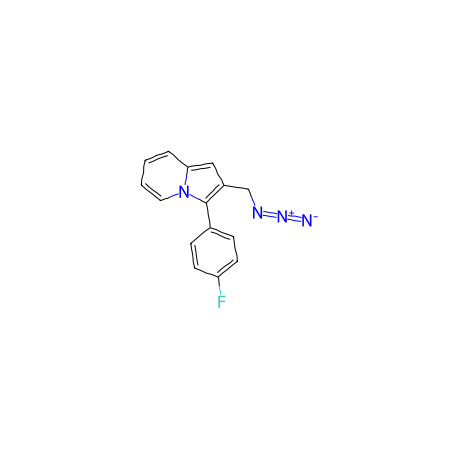 [N-]=[N+]=NCc1cc2ccccn2c1-c1ccc(F)cc1